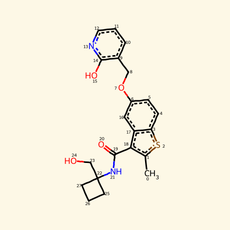 Cc1sc2ccc(OCc3cccnc3O)cc2c1C(=O)NC1(CO)CCC1